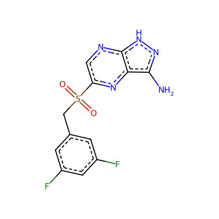 Nc1n[nH]c2ncc(S(=O)(=O)Cc3cc(F)cc(F)c3)nc12